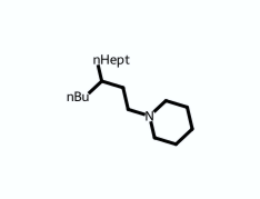 CCCCCCCC(CCCC)CCN1CCCCC1